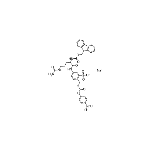 NC(=O)NCCCC(NC(=O)OCC1c2ccccc2-c2ccccc21)C(=O)Nc1ccc(COC(=O)Oc2ccc([N+](=O)[O-])cc2)c(S(=O)(=O)[O-])c1.[Na+]